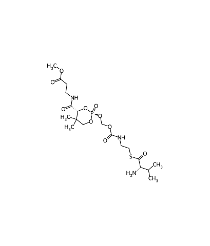 COC(=O)CCNC(=O)[C@@H]1O[P@@](=O)(OCOC(=O)NCCSC(=O)[C@@H](N)C(C)C)OCC1(C)C